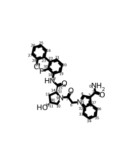 NC(=O)c1cn(CC(=O)N2C[C@H](O)C[C@H]2C(=O)Nc2cccc(-c3ccccc3Cl)c2F)c2ccccc12